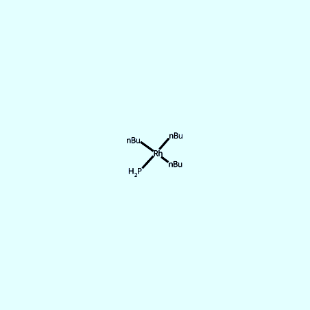 CCC[CH2][Rh]([PH2])([CH2]CCC)[CH2]CCC